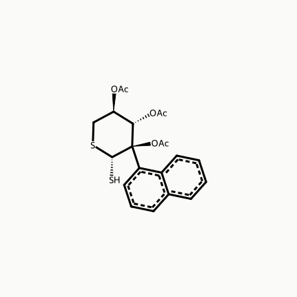 CC(=O)O[C@@H]1CS[C@@H](S)[C@@](OC(C)=O)(c2cccc3ccccc23)[C@H]1OC(C)=O